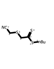 CCCCSC(=S)CSCC#N